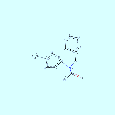 CCCC(=O)N(Cc1ccccc1)c1ccc([N+](=O)[O-])cc1